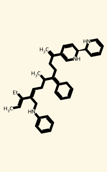 C=C(CC/C(=C1/C=CC=CC1)C(C)C/C=C(CNc1ccccc1)/C(=C/C)CC)C1=CN[C@H](C2C=CC=CN2)C=C1